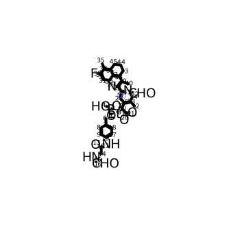 CC[C@@]1(OP(O)OCc2ccc(NC(=O)CNC=O)cc2)C(=O)OCC(C)=C1/C=C1/c2nc3cc(F)c(C)c4c3c(c2CN1C=O)CCC4